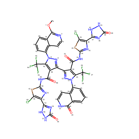 COc1nccc2c(-n3nc(-c4nn(-c5cccc6c(=O)[nH]ccc56)c(C(F)(F)F)c4C(=O)Nc4nc(-c5nc(=O)[nH][nH]5)c(Cl)s4)c(C(=O)Nc4nc(-c5nc(=O)[nH][nH]5)c(Cl)s4)c3C(F)(F)F)cccc12